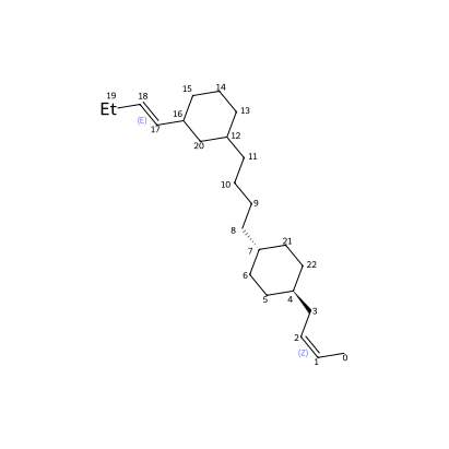 C/C=C\C[C@H]1CC[C@H](CCCCC2CCCC(/C=C/CC)C2)CC1